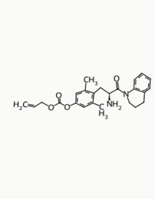 C=CCOC(=O)Oc1cc(C)c(C[C@H](N)C(=O)N2CCCc3ccccc32)c(C)c1